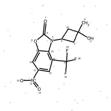 CC1(O)CC(n2c(=O)oc3cc([N+](=O)[O-])cc(C(F)(F)F)c32)C1